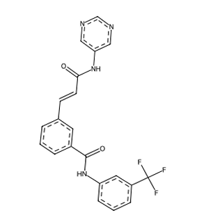 O=C(C=Cc1cccc(C(=O)Nc2cccc(C(F)(F)F)c2)c1)Nc1cncnc1